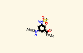 CONc1cc(NS(C)(=O)=O)cc(C(=O)OC)c1